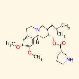 COc1cc2c(cc1OC)[C@H]1C[C@@H](COC(=O)[C@@H]3CCCNC3)[C@H](CC(C)C)CN1CC2